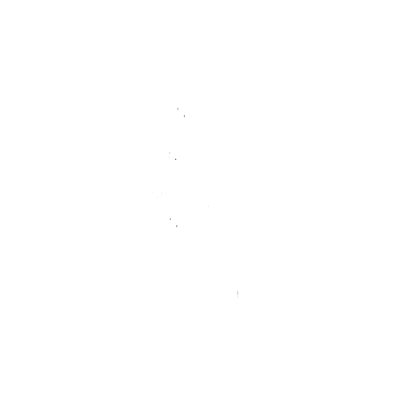 O=S(=O)(Nc1ccc(F)cc1Cl)c1cc2cccnc2[nH]1